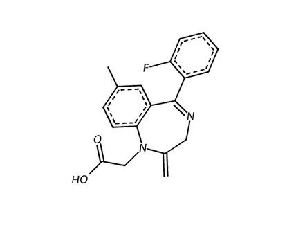 C=C1CN=C(c2ccccc2F)c2cc(C)ccc2N1CC(=O)O